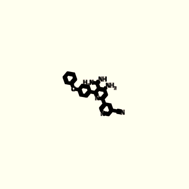 N#Cc1cncc(-c2cc(N)c(C(=N)N)c(-c3ccc(Oc4ccccc4)cc3)n2)c1